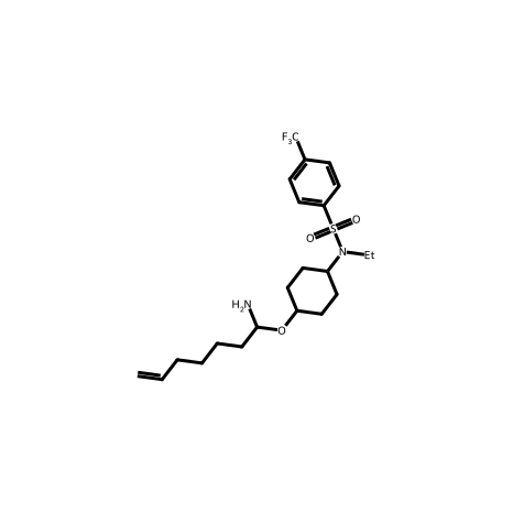 C=CCCCCC(N)OC1CCC(N(CC)S(=O)(=O)c2ccc(C(F)(F)F)cc2)CC1